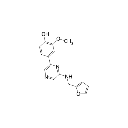 COc1cc(-c2cncc(NCc3ccco3)n2)ccc1O